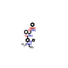 CC(C)CCN(C)c1ccc(C(=O)NC(CC(=O)NS(=O)(=O)c2ccccc2)C2CCCCC2)cc1NC1CCC1